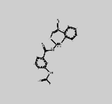 CC(=O)Nc1cccc(C(=O)NC2=Nc3ccccc3C(Cl)=CS2)c1